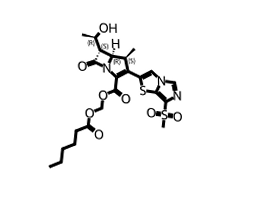 CCCCCC(=O)OCOC(=O)C1=C(c2cn3cnc(S(C)(=O)=O)c3s2)[C@H](C)[C@@H]2[C@@H]([C@@H](C)O)C(=O)N12